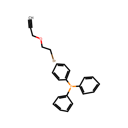 C#CCOCCBr.c1ccc(P(c2ccccc2)c2ccccc2)cc1